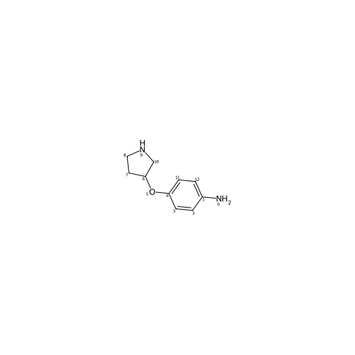 Nc1ccc(OC2CCNC2)cc1